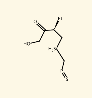 CC[C@@H](C[SiH2]CP=S)C(=O)CO